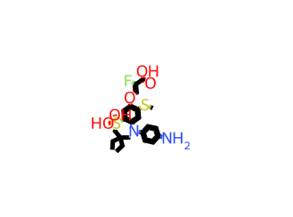 CCC1(CC)CN(c2ccc(N)cc2)c2cc(SC)c(O/C=C(\F)C(=O)O)cc2S(O)(O)C1